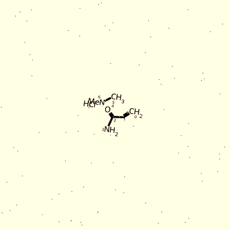 C=CC(N)=O.CNC.Cl